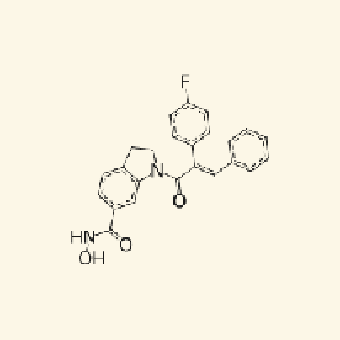 O=C(NO)c1ccc2c(c1)N(C(=O)/C(=C/c1ccccc1)c1ccc(F)cc1)CC2